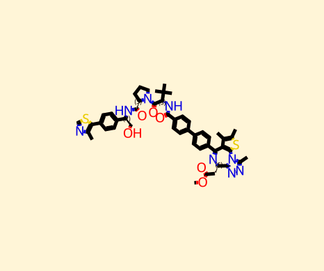 COC(=O)C[C@@H]1N=C(c2ccc(-c3ccc(C(=O)N[C@H](C(=O)N4CCC[C@H]4C(=O)N[C@@H](CO)c4ccc(-c5scnc5C)cc4)C(C)(C)C)cc3)cc2)c2c(sc(C)c2C)-n2c(C)nnc21